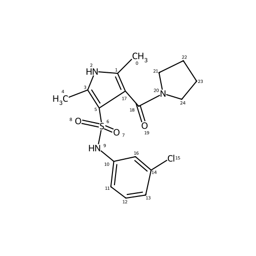 Cc1[nH]c(C)c(S(=O)(=O)Nc2cccc(Cl)c2)c1C(=O)N1CCCC1